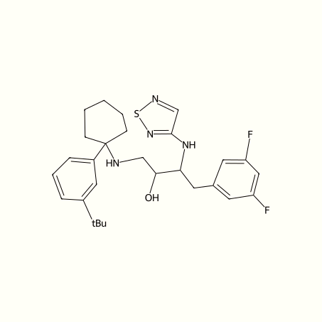 CC(C)(C)c1cccc(C2(NCC(O)C(Cc3cc(F)cc(F)c3)Nc3cnsn3)CCCCC2)c1